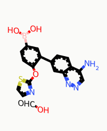 Nc1cnnc2cc(-c3cc(B(O)O)ccc3Oc3nccs3)ccc12.O=CO